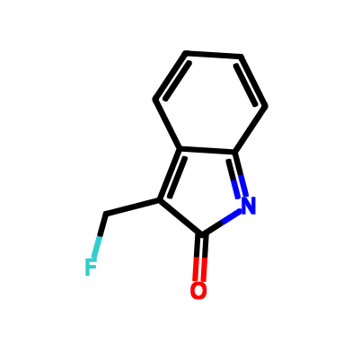 O=C1N=c2ccccc2=C1CF